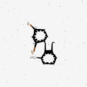 Cc1cccc(C(=O)O)c1-c1ccc(Br)cc1Br